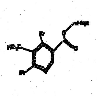 CCCCCCCOC(=O)c1ccc(C(C)C)c(C(=O)O)c1C(C)C